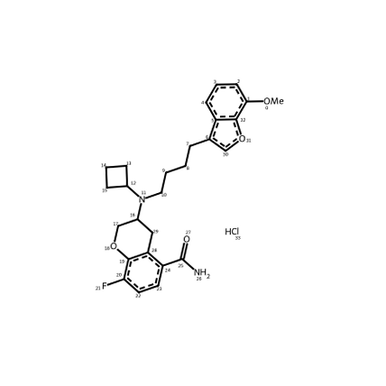 COc1cccc2c(CCCCN(C3CCC3)C3COc4c(F)ccc(C(N)=O)c4C3)coc12.Cl